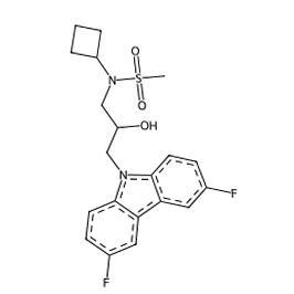 CS(=O)(=O)N(CC(O)Cn1c2ccc(F)cc2c2cc(F)ccc21)C1CCC1